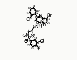 CN(CCCNc1cc(-c2ccccc2Cl)nc2c(Br)cnn12)S(=O)(=O)c1ccc(F)c(Cl)c1